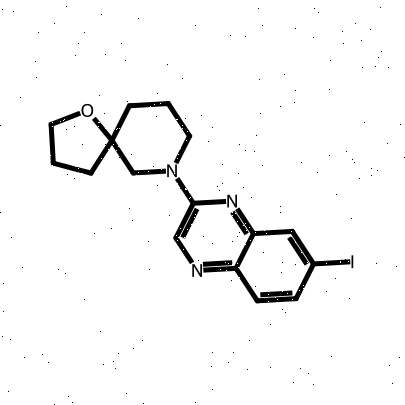 Ic1ccc2ncc(N3CCCC4(CCCO4)C3)nc2c1